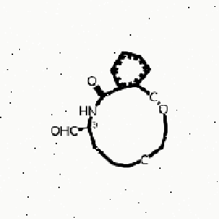 O=C[C@@H]1CCCCCCOCc2ccccc2C(=O)N1